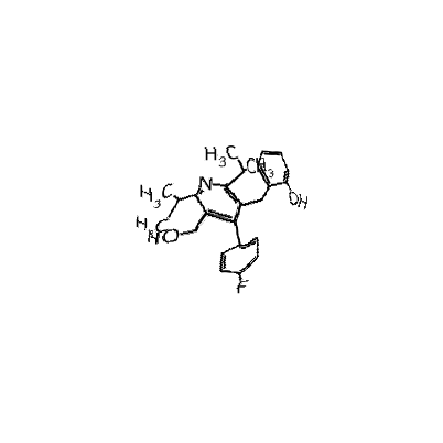 CC(C)c1nc(C(C)C)c(Cc2ccccc2O)c(-c2ccc(F)cc2)c1CO